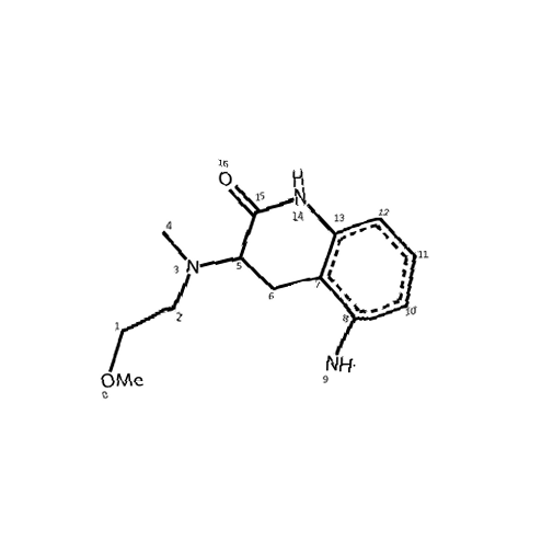 COCCN(C)C1Cc2c([NH])cccc2NC1=O